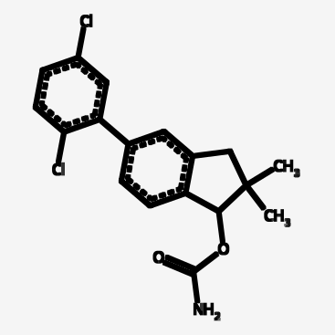 CC1(C)Cc2cc(-c3cc(Cl)ccc3Cl)ccc2C1OC(N)=O